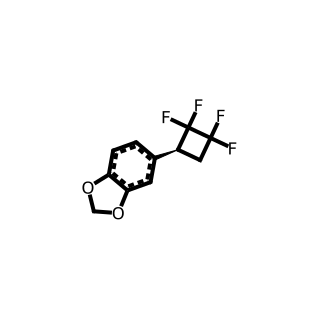 FC1(F)C[C@@H](c2ccc3c(c2)OCO3)C1(F)F